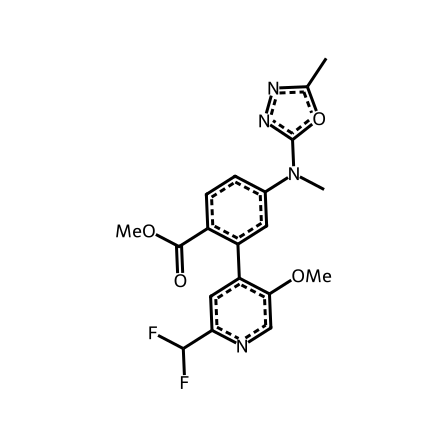 COC(=O)c1ccc(N(C)c2nnc(C)o2)cc1-c1cc(C(F)F)ncc1OC